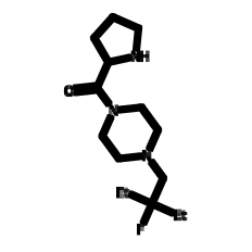 CCC(F)(CC)CN1CCN(C(=O)C2CCCN2)CC1